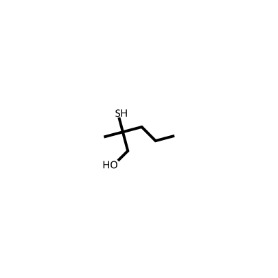 CCCC(C)(S)CO